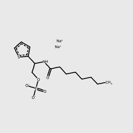 CCCCCCCC(=O)NC(COP(=O)([O-])[O-])c1cccs1.[Na+].[Na+]